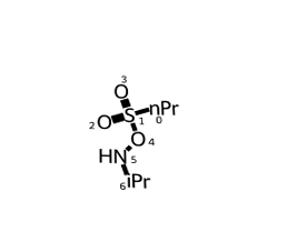 CCCS(=O)(=O)ONC(C)C